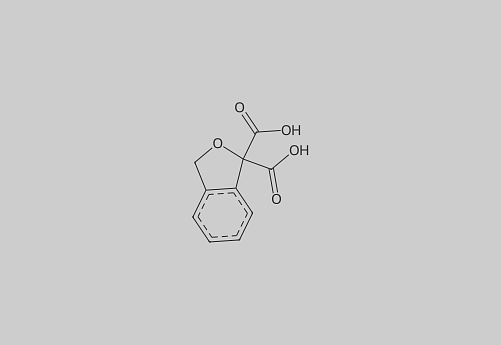 O=C(O)C1(C(=O)O)OCc2ccccc21